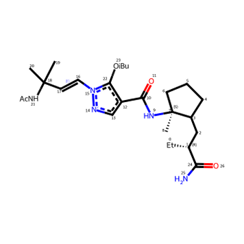 CC[C@H](CC1CCC[C@]1(C)NC(=O)c1cnn(/C=C/C(C)(C)NC(C)=O)c1OCC(C)C)C(N)=O